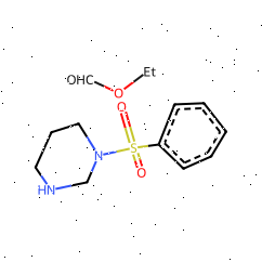 CCOC=O.O=S(=O)(c1ccccc1)N1CCCNC1